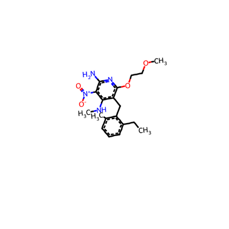 CCc1cccc(C)c1Cc1c(OCCOC)nc(N)c([N+](=O)[O-])c1NC